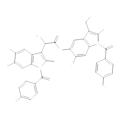 Cc1ccc(C(=O)n2c(C)c(CC(=O)O)c3cc(OC(=O)C(c4c(C)n(C(=O)c5ccc(C)cc5)c5cc(F)c(O)cc45)C(C)C)c(F)cc32)cc1